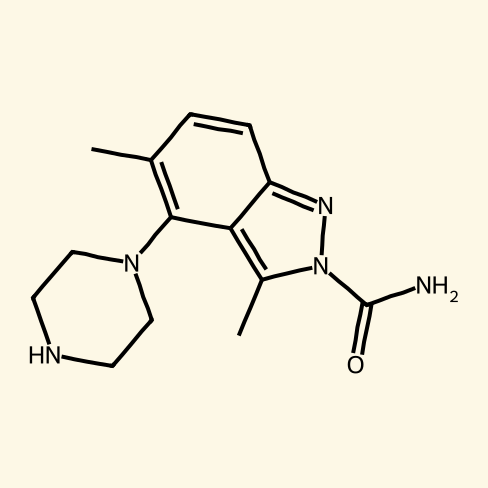 Cc1ccc2nn(C(N)=O)c(C)c2c1N1CCNCC1